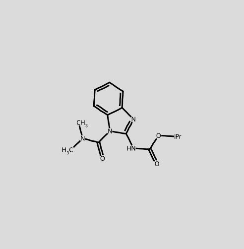 CC(C)OC(=O)Nc1nc2ccccc2n1C(=O)N(C)C